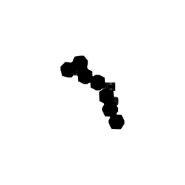 c1ccc(-c2ccc3c(c2)oc2cc(Nc4ccc(-c5ccc6c(c5)c5cccc7c8ccccc8n6c75)cc4)ccc23)cc1